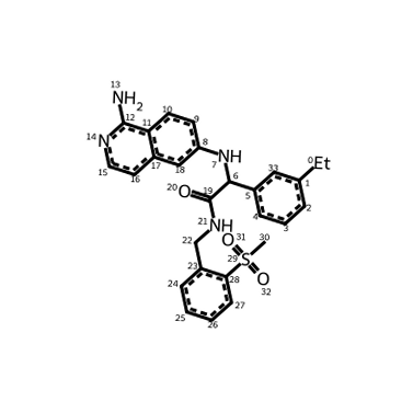 CCc1cccc(C(Nc2ccc3c(N)nccc3c2)C(=O)NCc2ccccc2S(C)(=O)=O)c1